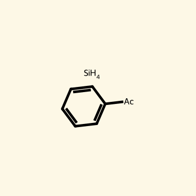 CC(=O)c1ccccc1.[SiH4]